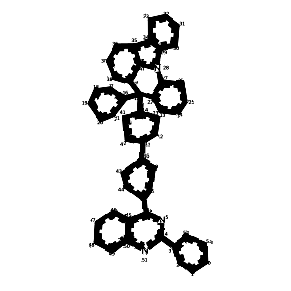 c1ccc(-c2nc(-c3ccc(-c4ccc(C5(c6ccccc6)c6ccccc6-n6c7ccccc7c7cccc5c76)cc4)cc3)c3ccccc3n2)cc1